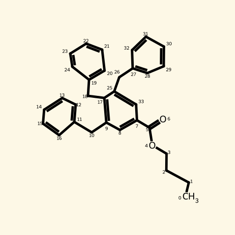 CCCCOC(=O)c1cc(Cc2ccccc2)c(Cc2ccccc2)c(Cc2ccccc2)c1